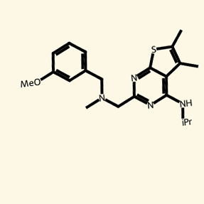 COc1cccc(CN(C)Cc2nc(NC(C)C)c3c(C)c(C)sc3n2)c1